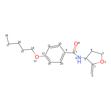 C=C1OCCC1NC(=O)c1ccc(OCCCCC)cc1